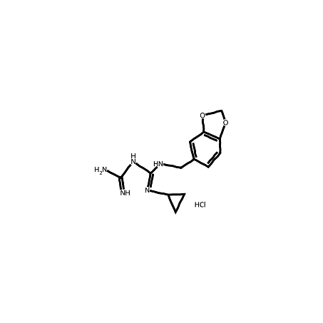 Cl.N=C(N)NC(=NC1CC1)NCc1ccc2c(c1)OCO2